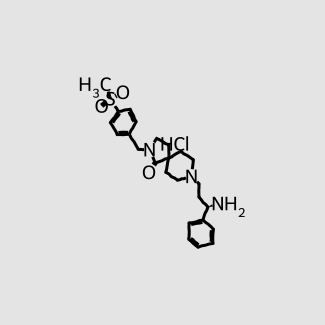 CS(=O)(=O)c1ccc(CN2CCC3(CCN(CC[C@H](N)c4ccccc4)CC3)C2=O)cc1.Cl